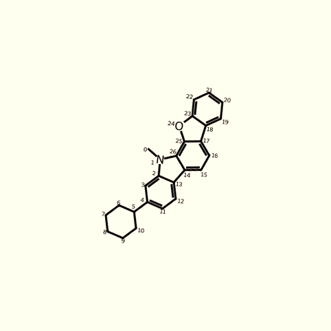 Cn1c2cc(C3CCCCC3)ccc2c2ccc3c4ccccc4oc3c21